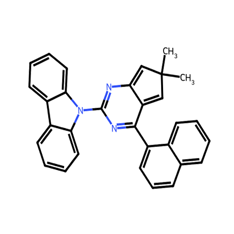 CC1(C)C=c2nc(-n3c4ccccc4c4ccccc43)nc(-c3cccc4ccccc34)c2=C1